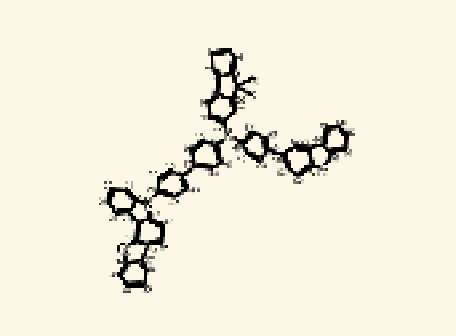 CC1(C)c2ccccc2-c2ccc(N(c3ccc(-c4ccc(-n5c6ccccc6c6c7oc8ccccc8c7ccc65)cc4)cc3)c3ccc(-c4ccc5sc6ccccc6c5c4)cc3)cc21